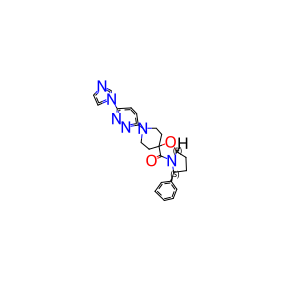 O=C1N2[C@@H](CC[C@H]2c2ccccc2)OC12CCN(c1ccc(-n3ccnc3)nn1)CC2